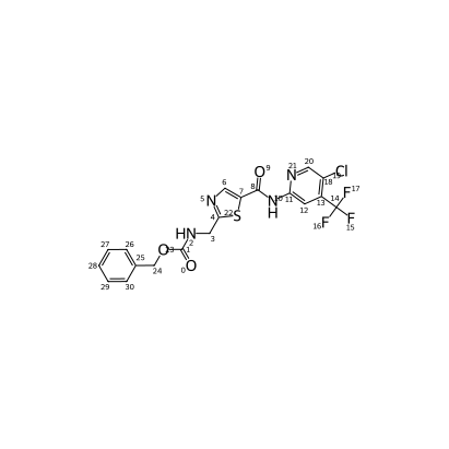 O=C(NCc1ncc(C(=O)Nc2cc(C(F)(F)F)c(Cl)cn2)s1)OCc1ccccc1